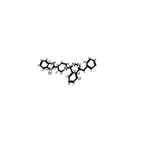 c1ccc(Cc2nnc(N3CCC(c4nc5ccccc5[nH]4)CC3)c3ccccc23)cc1